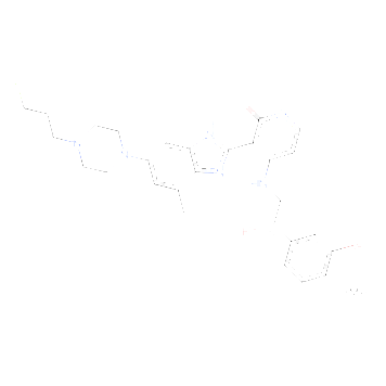 COc1ccc([C@H](O)CNc2cc[nH]c(=O)c2-c2nc3c(C)cc(N4CCN(CCCF)CC4)cc3[nH]2)cc1Br